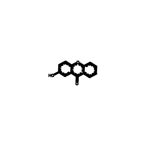 O=c1c2c[c]ccc2oc2ccc(O)cc12